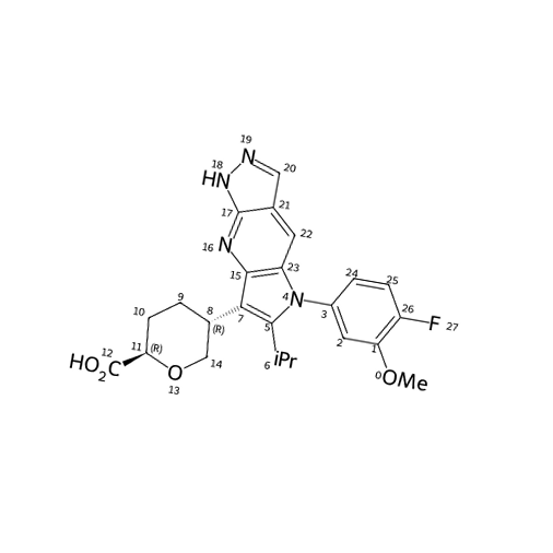 COc1cc(-n2c(C(C)C)c([C@H]3CC[C@H](C(=O)O)OC3)c3nc4[nH]ncc4cc32)ccc1F